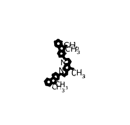 CCC1c2ccc(-c3ccc4c(c3)C(C)(C)c3ccccc3-4)nc2-c2nc(-c3ccc4c(c3)C(C)(C)c3ccccc3-4)ccc21